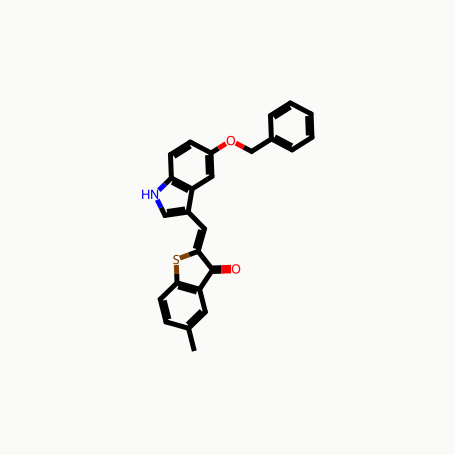 Cc1ccc2c(c1)C(=O)C(=Cc1c[nH]c3ccc(OCc4ccccc4)cc13)S2